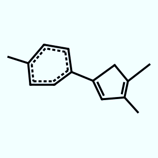 CC1=C(C)CC(c2ccc(C)cc2)=C1